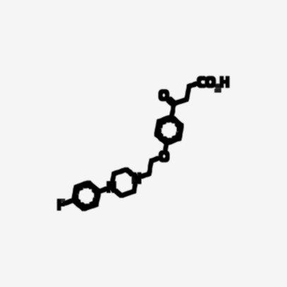 O=C(O)CCC(=O)c1ccc(OCCN2CCN(c3ccc(F)cc3)CC2)cc1